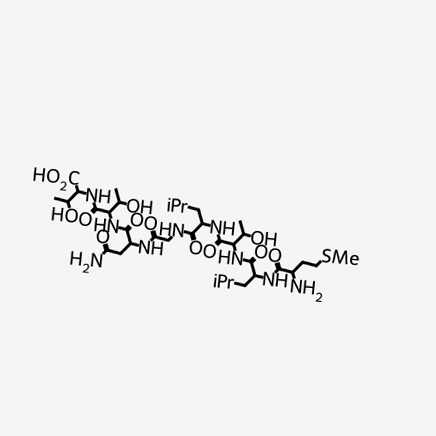 CSCCC(N)C(=O)NC(CC(C)C)C(=O)NC(C(=O)NC(CC(C)C)C(=O)NCC(=O)NC(CC(N)=O)C(=O)NC(C(=O)NC(C(=O)O)C(C)O)C(C)O)C(C)O